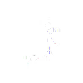 C=C(CCC(=O)NCc1nc2cc(F)c(F)cc2[nH]1)NC(=O)COc1ccc(Cl)c(F)c1